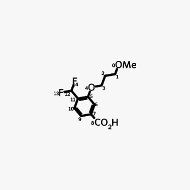 COCCCOc1cc(C(=O)O)ccc1C(F)F